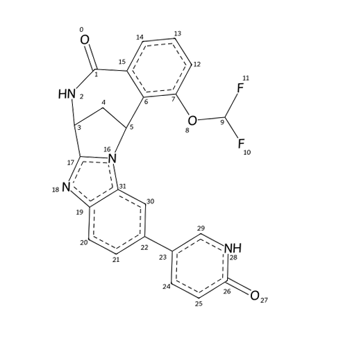 O=C1NC2CC(c3c(OC(F)F)cccc31)n1c2nc2ccc(-c3ccc(=O)[nH]c3)cc21